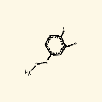 CSSc1ccc(F)c(F)c1